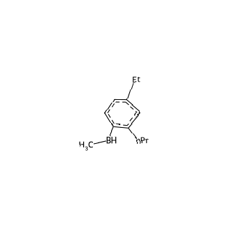 CBc1ccc(CC)cc1CCC